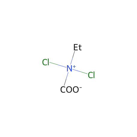 CC[N+](Cl)(Cl)C(=O)[O-]